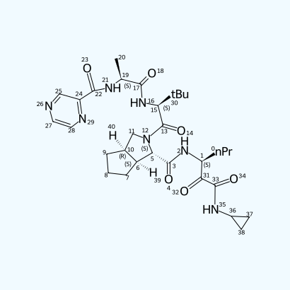 CCC[C@H](NC(=O)[C@@H]1[C@H]2CCC[C@H]2CN1C(=O)[C@@H](NC(=O)[C@H](C)NC(=O)c1cnccn1)C(C)(C)C)C(=O)C(=O)NC1CC1